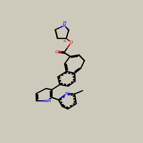 Cc1cccc(C2=C(c3ccc4c(c3)=CC(C(=O)O[C@H]3CCNC3)=CCC=4)CC=CN2)n1